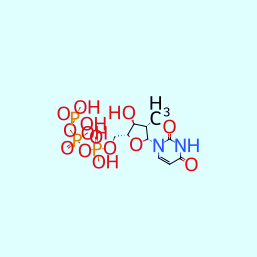 C[C@H]1[C@H](O)[C@@H](COP(=O)(O)OP(=O)(O)OP(=O)(O)O)O[C@H]1n1ccc(=O)[nH]c1=O